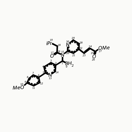 BC(c1ccc(-c2ccc(OC)cc2)nc1)N(C(=O)CC(C)C)c1cc(/C=C/C(=O)OC)ccn1